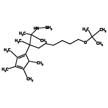 CC1=C(C)C(C)C(C(C)(CCCCCCOC(C)(C)C)C(C)(C)N[SiH3])=C1C